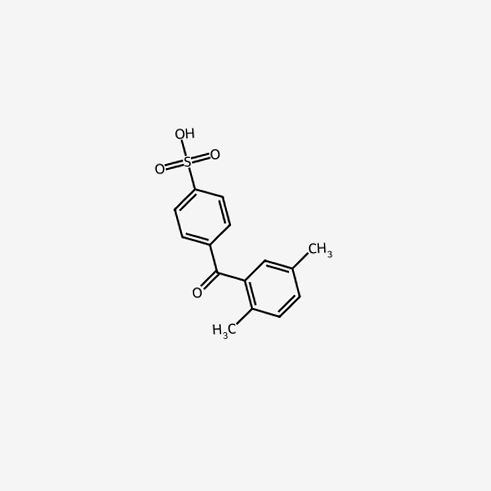 Cc1ccc(C)c(C(=O)c2ccc(S(=O)(=O)O)cc2)c1